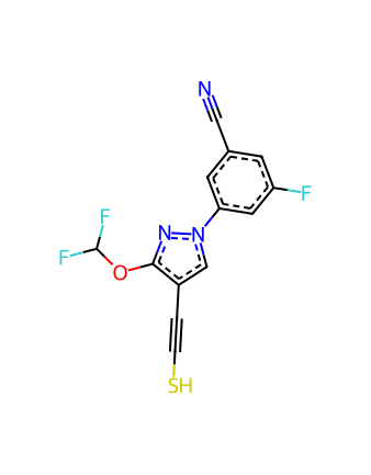 N#Cc1cc(F)cc(-n2cc(C#CS)c(OC(F)F)n2)c1